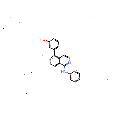 Oc1cccc(-c2cccc3c(Nc4ccccc4)nccc23)c1